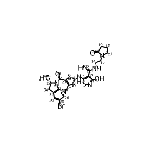 Cc1nc(Nc2snc(O)c2C(=N)NCCN2CCCC2=O)sc1C(=O)N1c2ncc(Br)cc2CC1O